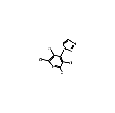 Clc1nc(Cl)c(Cl)c(-n2ccnn2)c1Cl